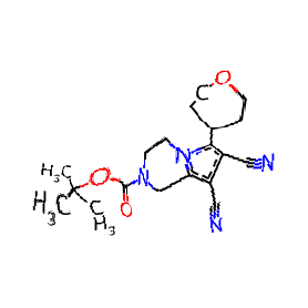 CC(C)(C)OC(=O)N1CCn2c(c(C#N)c(C#N)c2C2CCOCC2)C1